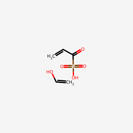 C=CC(=O)S(=O)(=O)O.C=CO